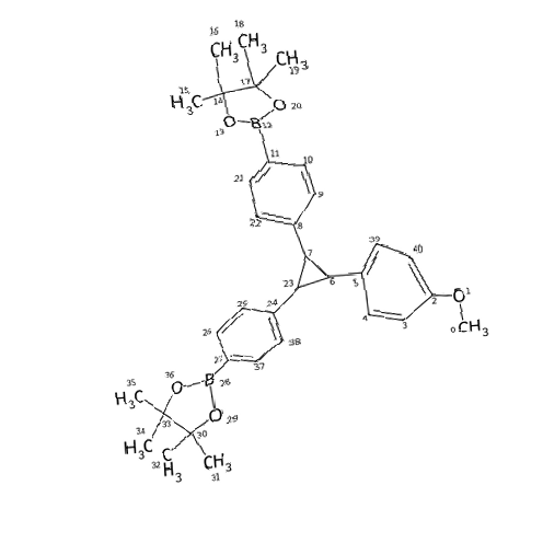 COc1ccc(C2C(c3ccc(B4OC(C)(C)C(C)(C)O4)cc3)C2c2ccc(B3OC(C)(C)C(C)(C)O3)cc2)cc1